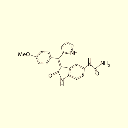 COc1ccc(/C(=C2\C(=O)Nc3ccc(NC(N)=O)cc32)c2ccc[nH]2)cc1